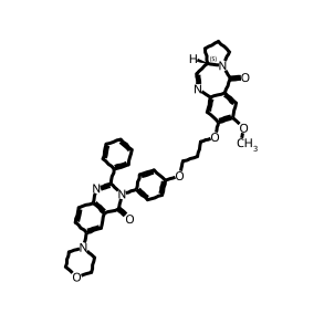 COc1cc2c(cc1OCCCOc1ccc(-n3c(-c4ccccc4)nc4ccc(N5CCOCC5)cc4c3=O)cc1)N=C[C@@H]1CCCN1C2=O